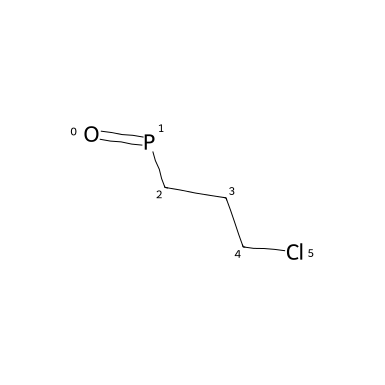 O=PCCCCl